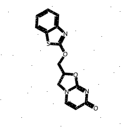 O=c1ccn2c(n1)OC(COc1nc3ccccc3s1)C2